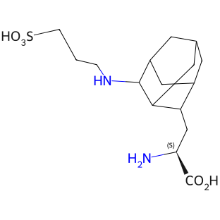 N[C@@H](CC1C2CC3CC(C2)C(NCCCS(=O)(=O)O)C1C3)C(=O)O